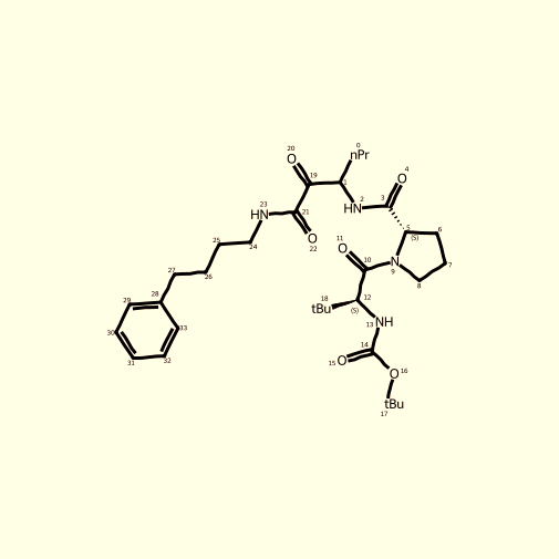 CCCC(NC(=O)[C@@H]1CCCN1C(=O)[C@@H](NC(=O)OC(C)(C)C)C(C)(C)C)C(=O)C(=O)NCCCCc1ccccc1